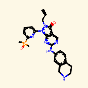 C=CCn1c(=O)c2cnc(Nc3ccc4c(c3)CNCC4)nc2n1-c1cccc(P(C)(C)=O)n1